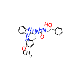 COc1ccc(C[C@@H](NC(=O)NC[C@H](O)c2ccccc2)c2nc3ccccc3[nH]2)cc1